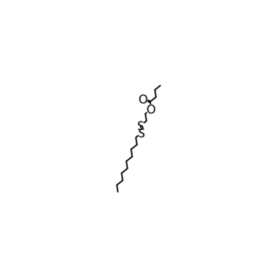 CCCCCCCCCCSSCCOC(=O)CCC